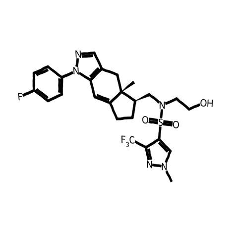 Cn1cc(S(=O)(=O)N(CCO)C[C@H]2CCC3=Cc4c(cnn4-c4ccc(F)cc4)C[C@@]32C)c(C(F)(F)F)n1